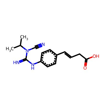 CC(C)N(C#N)C(=N)Nc1ccc(/C=C/CC(=O)O)cc1